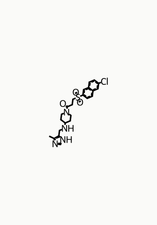 Cc1nc[nH]c1CNC1CCN(C(=O)CCS(=O)(=O)c2ccc3cc(Cl)ccc3c2)CC1